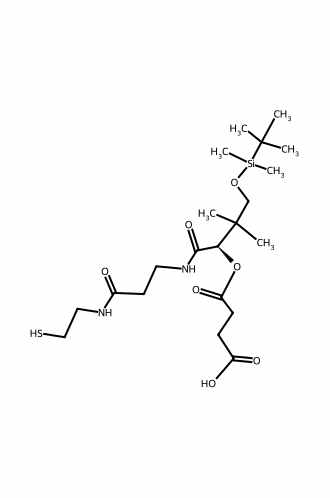 CC(C)(CO[Si](C)(C)C(C)(C)C)[C@@H](OC(=O)CCC(=O)O)C(=O)NCCC(=O)NCCS